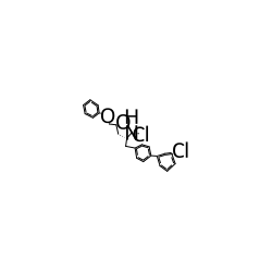 O=C(COc1ccccc1)C[C@@H](Cc1ccc(-c2cccc(Cl)c2)cc1)NCl